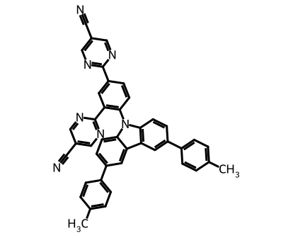 Cc1ccc(-c2ccc3c(c2)c2cc(-c4ccc(C)cc4)ccc2n3-c2ccc(-c3ncc(C#N)cn3)cc2-c2ncc(C#N)cn2)cc1